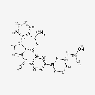 CCCSc1nc(N2CCC[C@@H](CC(=O)O)C2)ccc1C(=O)N1CCC(c2ccccn2)C1